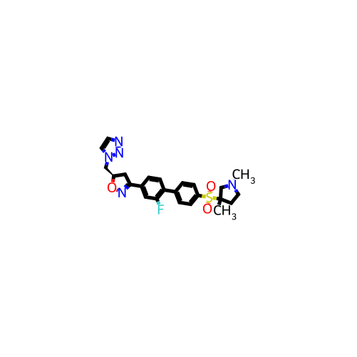 CN1CCC(C)(S(=O)(=O)c2ccc(-c3ccc(C4=NO[C@@H](Cn5ccnn5)C4)cc3F)cc2)C1